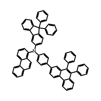 c1ccc(-c2c(-c3ccccc3)c3cc(-c4ccc(N(c5ccc6c(c5)-c5ccccc5C6(c5ccccc5)c5ccccc5)c5cccc6c5ccc5ccccc56)cc4)ccc3c3ccccc23)cc1